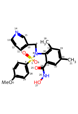 COc1ccc(S(=O)(=O)N(Cc2cccnc2)c2c(C)cc(C)cc2C(=O)NO)cc1